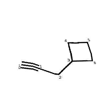 [C]#CCC1CCC1